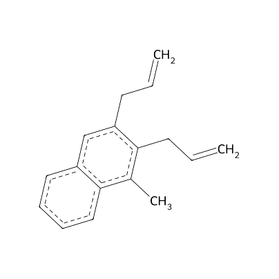 C=CCc1cc2ccccc2c(C)c1CC=C